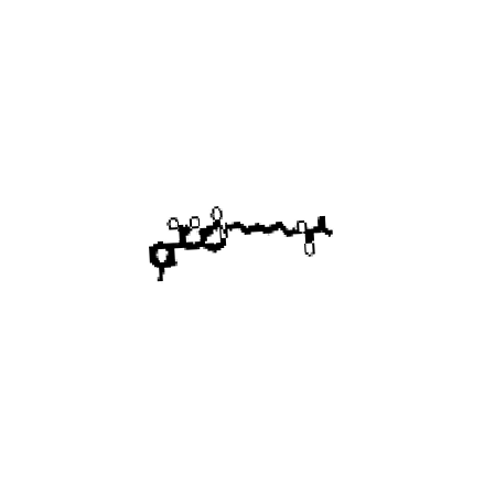 C=C(C)C(=O)OCCCCCCn1ccc2cc(-c3cccc(C)c3)c(=O)oc2c1=O